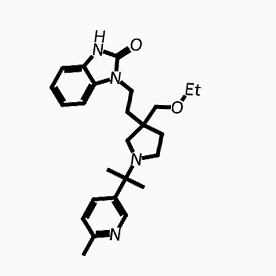 CCOCC1(CCn2c(=O)[nH]c3ccccc32)CCN(C(C)(C)c2ccc(C)nc2)C1